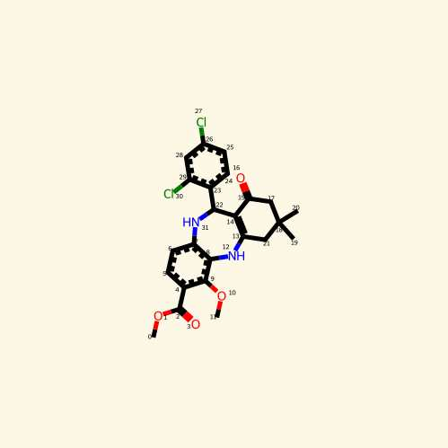 COC(=O)c1ccc2c(c1OC)NC1=C(C(=O)CC(C)(C)C1)C(c1ccc(Cl)cc1Cl)N2